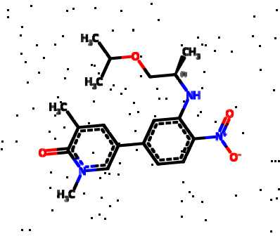 Cc1cc(-c2ccc([N+](=O)[O-])c(N[C@H](C)COC(C)C)c2)cn(C)c1=O